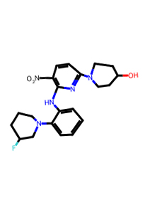 O=[N+]([O-])c1ccc(N2CCC(O)CC2)nc1Nc1ccccc1N1CCCC(F)C1